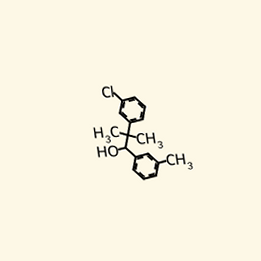 Cc1cccc(C(O)C(C)(C)c2cccc(Cl)c2)c1